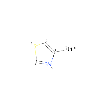 [2H]c1cscn1